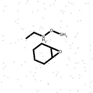 C1CCC2OC2C1.CC[SiH2]O[SiH3]